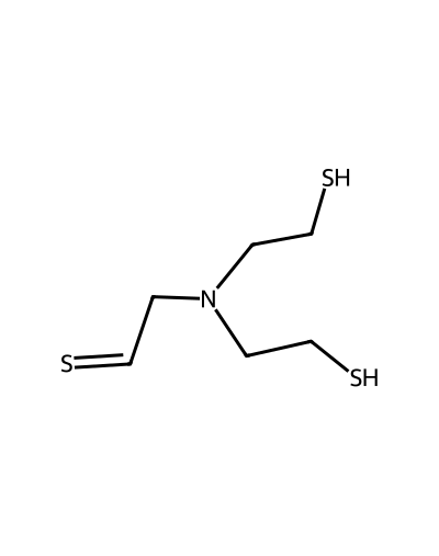 S=CCN(CCS)CCS